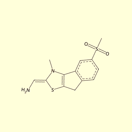 CN1C2=C(Cc3ccc(S(C)(=O)=O)cc32)S/C1=C\N